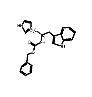 O=C(N[C@H](Cc1c[nH]c2ccccc12)C(=O)O)OCc1ccccc1.c1c[nH]cn1